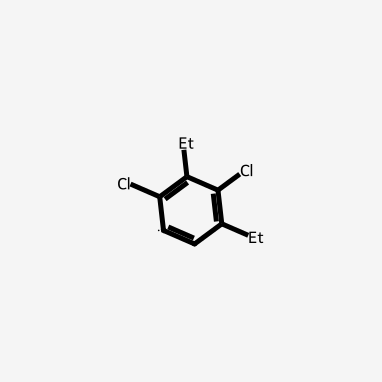 CCc1c[c]c(Cl)c(CC)c1Cl